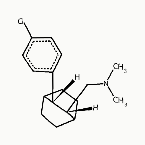 CN(C)C[C@@H]1C2CCC(CC2)[C@@H]1c1ccc(Cl)cc1